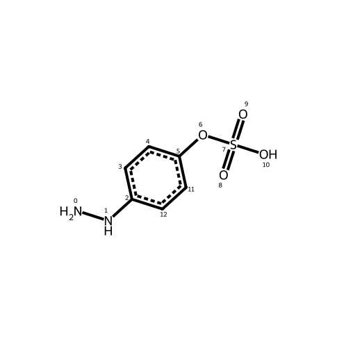 NNc1ccc(OS(=O)(=O)O)cc1